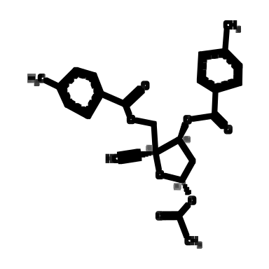 C#C[C@@]1(COC(=O)c2ccc(C)cc2)O[C@@H](OC(C)=O)C[C@@H]1OC(=O)c1ccc(C)cc1